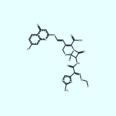 Nc1nc(C(=NOCF)C(=O)NC2C(=O)N3C(C(=O)O)=C(C=CSc4cc(=O)c5ccc(Cl)cc5s4)CS[C@@H]23)cs1